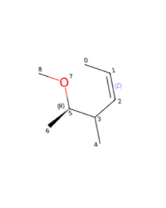 C/C=C\C(C)[C@@H](C)OC